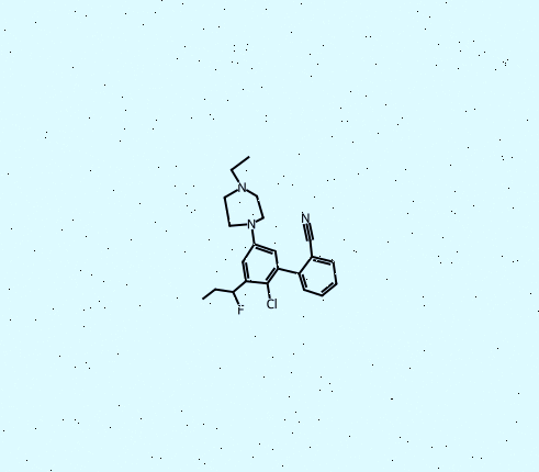 CCC(F)c1cc(N2CCN(CC)CC2)cc(-c2ccccc2C#N)c1Cl